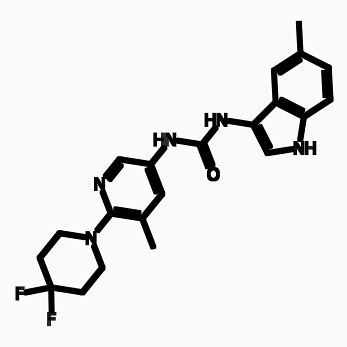 Cc1ccc2[nH]cc(NC(=O)Nc3cnc(N4CCC(F)(F)CC4)c(C)c3)c2c1